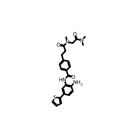 CN(C)C(=O)CN(C)C(=O)CCc1ccc(C(=O)Nc2cc(-c3cccs3)ccc2N)cc1